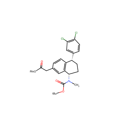 COC(=O)Cc1ccc2c(c1)[C@@H](N(C)C(=O)OC(C)(C)C)CC[C@H]2c1ccc(Cl)c(Cl)c1